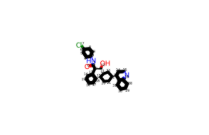 O=C(Nc1ccc(Cl)cc1)[C@@H](CO)c1ccccc1[C@H]1CC[C@@H](c2ccnc3ccccc32)CC1